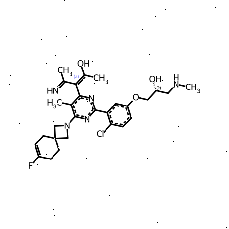 CNC[C@@H](O)COc1ccc(Cl)c(-c2nc(/C(C(C)=N)=C(\C)O)c(C)c(N3CC4(CC=C(F)CC4)C3)n2)c1